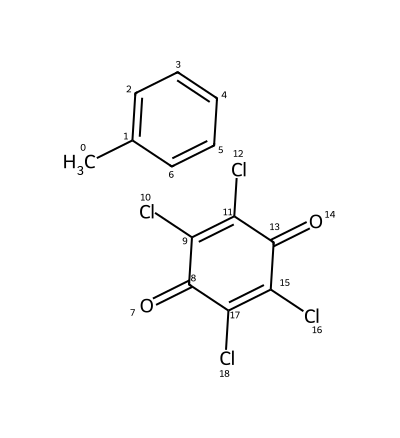 Cc1ccccc1.O=C1C(Cl)=C(Cl)C(=O)C(Cl)=C1Cl